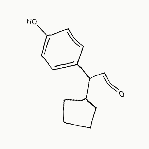 O=CC(c1ccc(O)cc1)C1CCCC1